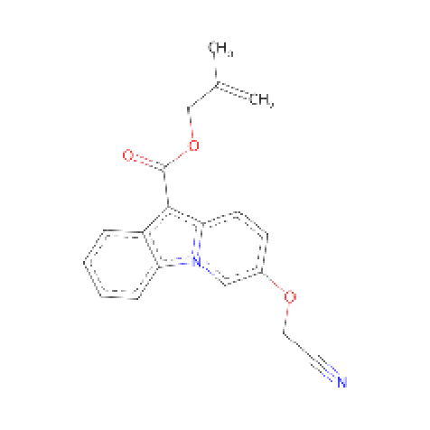 C=C(C)COC(=O)c1c2ccccc2n2cc(OCC#N)ccc12